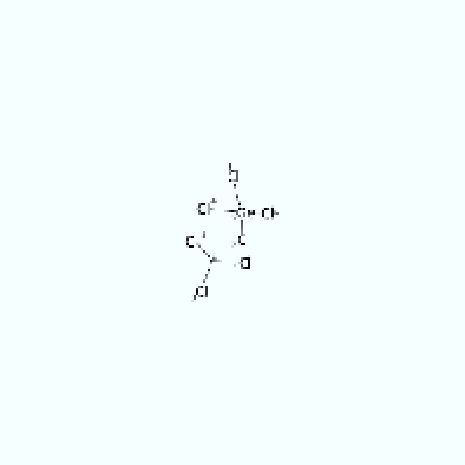 ClC(Cl)Cl.[Cl][Ge]([Cl])([Cl])[Cl]